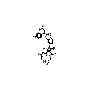 CCN1CC(CC(F)F)c2[nH]c(-c3ccnc(NC(=O)C(CC(F)F)c4ccc(F)cc4)c3)c(Br)c2C1=O